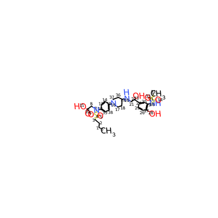 CCCCS(=O)(=O)N(CC(=O)O)c1ccc(N2CCC(NC[C@H](O)c3ccc(O)c(NS(C)(=O)=O)c3)CC2)cc1